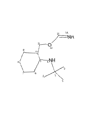 CC(C)(C)NC1CCCCC1COC=N